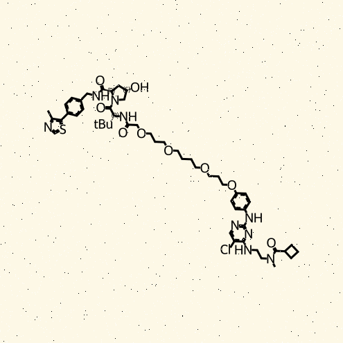 Cc1ncsc1-c1ccc(CNC(=O)[C@H]2C[C@H](O)CN2C(=O)[C@H](NC(=O)COCCCOCCCCOCCCOc2ccc(Nc3ncc(Cl)c(NCCN(C)C(=O)C4CCC4)n3)cc2)C(C)(C)C)cc1